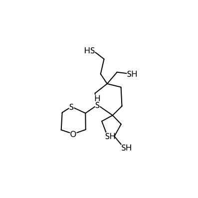 SCCC1(CS)CCC(CS)(CCS)[SH](C2COCCS2)C1